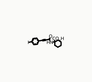 O=C(C#Cc1ccc(I)cc1)NC1(C(=O)O)CCCCC1